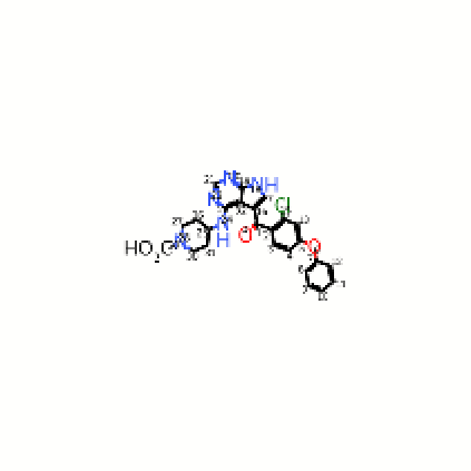 O=C(c1ccc(Oc2ccccc2)cc1Cl)c1c[nH]c2ncnc(NC3CCN(C(=O)O)CC3)c12